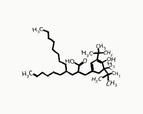 CCCCCCCCC(CCCCCC)CC(CC1=CC(C(C)(C)C)=C(O)C(C)(C(C)(C)C)C1)C(=O)O